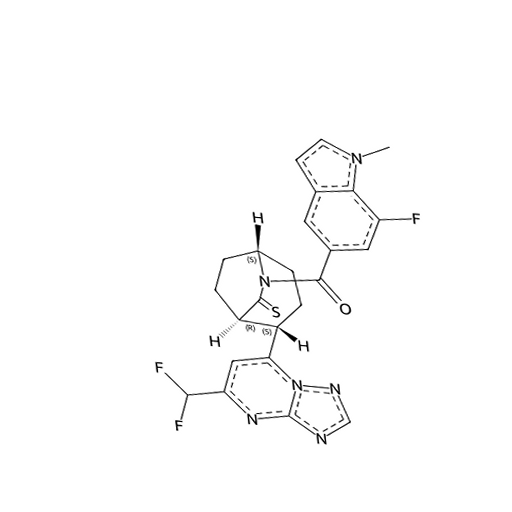 Cn1ccc2cc(C(=O)N3C(=S)[C@@H]4CC[C@@H]3CC[C@@H]4c3cc(C(F)F)nc4ncnn34)cc(F)c21